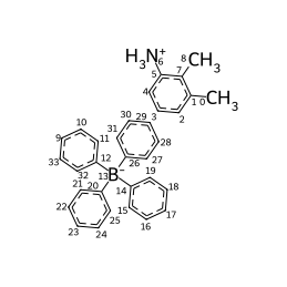 Cc1cccc([NH3+])c1C.c1ccc([B-](c2ccccc2)(c2ccccc2)c2ccccc2)cc1